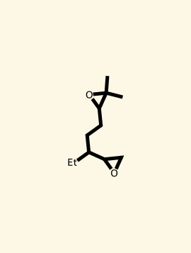 CCC(CCC1OC1(C)C)C1CO1